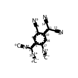 [C-]#[N+]C([N+]#[C-])=c1cc(C#N)c(=C(C#N)C#N)cc1[N+]#[C-]